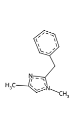 Cc1cn(C)c(Cc2ccccc2)n1